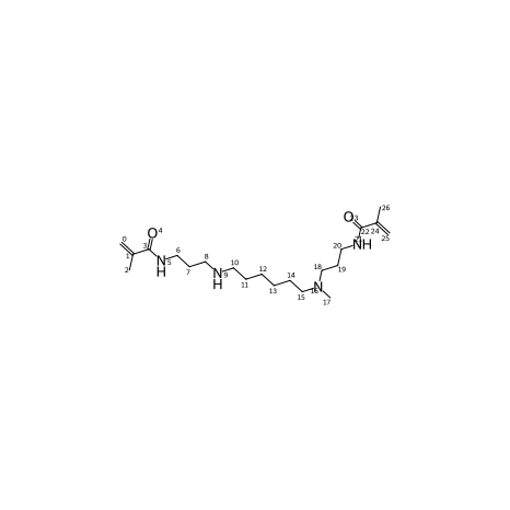 C=C(C)C(=O)NCCCNCCCCCCN(C)CCCNC(=O)C(=C)C